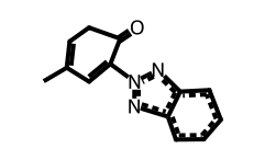 CC1=CCC(=O)C(n2nc3ccccc3n2)=C1